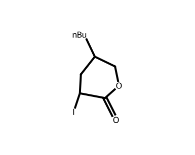 CCCCC1COC(=O)C(I)C1